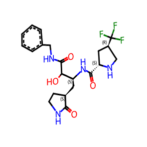 O=C(NCc1ccccc1)C(O)[C@H](C[C@@H]1CCNC1=O)NC(=O)[C@@H]1C[C@@H](C(F)(F)F)CN1